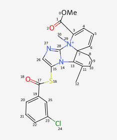 COC(=O)C1=CC=CC23CC=CC(C)=C2n2c(SC(=O)c4cccc(Cl)c4)cnc2[N+]13C